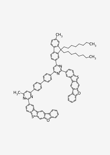 CCCCCCCCC1(CCCCCCCC)c2cc(C)ccc2-c2ccc(-c3cc(-c4ccc(-c5ccc(-c6cc(C)nc(-c7ccc8sc9cc%10oc%11ccccc%11c%10cc9c8c7)n6)cc5)cc4)nc(-c4ccc5sc6cc7oc8ccccc8c7cc6c5c4)n3)cc21